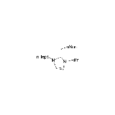 CCCCCCCCCCC1N(CCCCCCC)C=CN1C(C)C